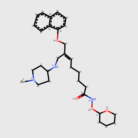 CC(C)N1CCC(NC/C(=C\CCCCC(=O)NOC2CCCCO2)COc2cccc3ccccc23)CC1